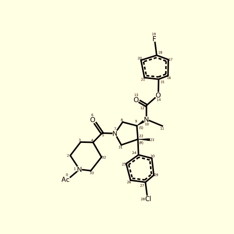 CC(=O)N1CCC(C(=O)N2C[C@@H](N(C)C(=O)Oc3ccc(F)cc3)[C@](C)(c3ccc(Cl)cc3)C2)CC1